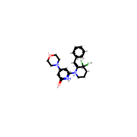 O=c1cc(N2CCOCC2)cc(N2CCCC(F)(F)/C2=C\c2ccccc2)[nH]1